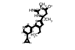 CCc1cc([C@]2(C)CC(=O)N(C)C(=N)N2)sc1-c1cncc(C2CC2)c1